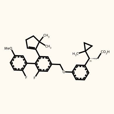 COc1ccc(F)c(-c2c(F)cc(COc3cccc([C@@H](CC(=O)O)C4(C)CC4)c3)cc2C2=CCCC2(C)C)c1